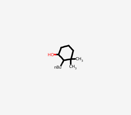 CCCCC1C(O)CCCC1(C)C